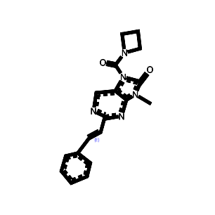 Cn1c(=O)n(C(=O)N2CCC2)c2cnc(/C=C/c3ccccc3)nc21